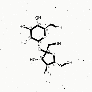 C[C@@H]1[C@@H](CO)O[C@@](CO)(O[C@H]2O[C@H](CO)[C@@H](O)[C@H](O)[C@H]2O)[C@H]1O